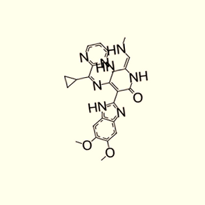 CN/C=C1/NC(=O)C(c2nc3cc(OC)c(OC)cc3[nH]2)=C(/N=C(\c2ncccn2)C2CC2)C1=N